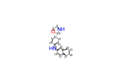 C1=CC([C@H]2CNCCO2)CC=C1Nc1ccc2ccccc2c1